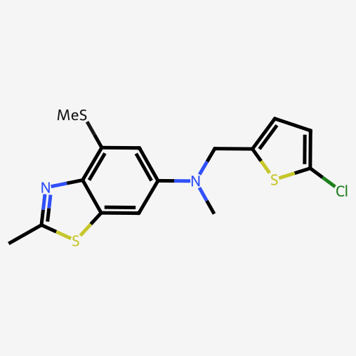 CSc1cc(N(C)Cc2ccc(Cl)s2)cc2sc(C)nc12